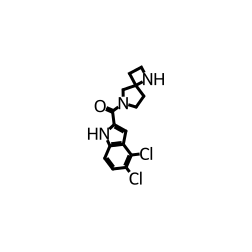 O=C(c1cc2c(Cl)c(Cl)ccc2[nH]1)N1CCC2(CCN2)C1